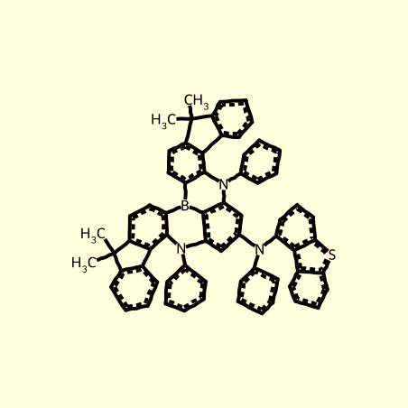 CC1(C)c2ccccc2-c2c1ccc1c2N(c2ccccc2)c2cc(N(c3ccccc3)c3cccc4sc5ccccc5c34)cc3c2B1c1ccc2c(c1N3c1ccccc1)-c1ccccc1C2(C)C